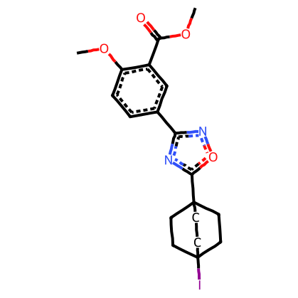 COC(=O)c1cc(-c2noc(C34CCC(I)(CC3)CC4)n2)ccc1OC